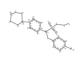 CCCS(=O)(=O)N(Cc1ccc(F)cc1)c1cnc(N2CCOCC2)nc1